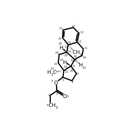 CCC(=O)OC1CC[C@H]2[C@@H]3CCC4=CCC=C[C@]4(C)[C@H]3CC[C@]12C